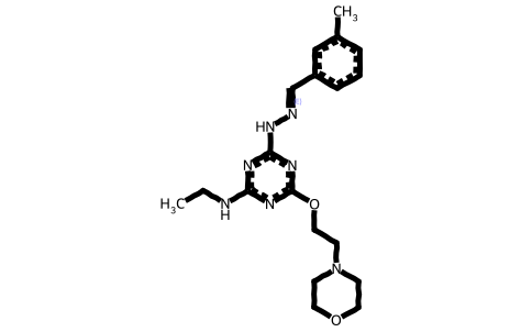 CCNc1nc(N/N=C/c2cccc(C)c2)nc(OCCN2CCOCC2)n1